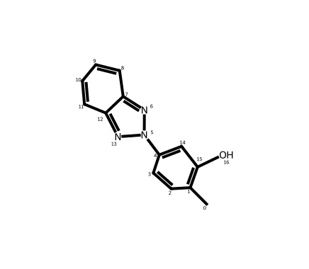 Cc1ccc(-n2nc3ccccc3n2)cc1O